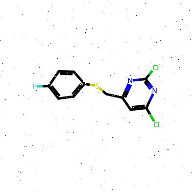 Fc1ccc(SCc2cc(Cl)nc(Cl)n2)cc1